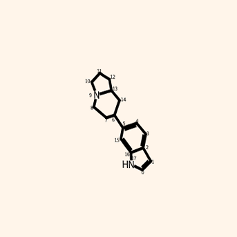 c1cc2ccc(C3CCN4CCCC4C3)cc2[nH]1